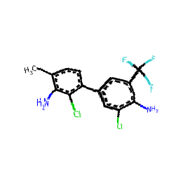 Cc1c[c]c(-c2cc(Cl)c(N)c(C(F)(F)F)c2)c(Cl)c1N